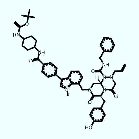 C=CCN1CC(=O)N2[C@@H](Cc3ccc(O)cc3)C(=O)N(Cc3cccc4c(-c5ccc(C(=O)NC6CCC(NC(=C)OC(C)(C)C)CC6)cc5)cn(C)c34)C[C@@H]2N1C(=O)NCc1ccccc1